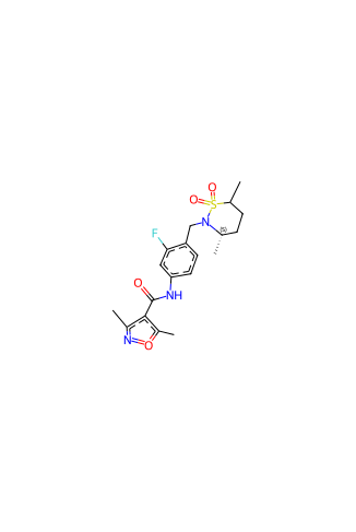 Cc1noc(C)c1C(=O)Nc1ccc(CN2[C@@H](C)CCC(C)S2(=O)=O)c(F)c1